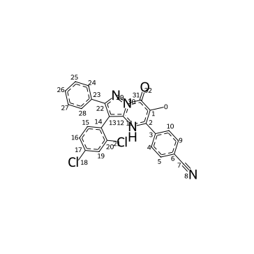 Cc1c(-c2ccc(C#N)cc2)[nH]c2c(-c3ccc(Cl)cc3Cl)c(-c3ccccc3)nn2c1=O